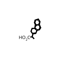 CC(C(=O)O)C1=Cc2ccc3ccccc3c2CC1